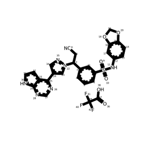 N#CCC(c1cccc(S(=O)(=O)Nc2ccc3c(c2)OCO3)c1)n1cc(-c2ncnc3[nH]ccc23)cn1.O=C(O)C(F)(F)F